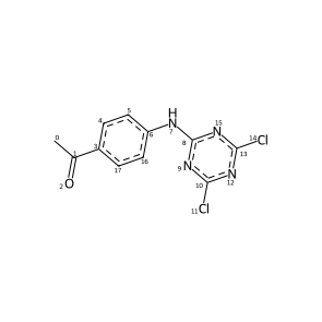 CC(=O)c1ccc(Nc2nc(Cl)nc(Cl)n2)cc1